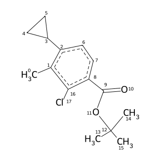 Cc1c(C2CC2)ccc(C(=O)OC(C)(C)C)c1Cl